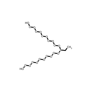 CCN(OOOOOOOOOOO)OOOOOOOOOOO